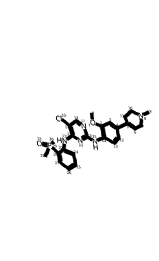 COc1cc(C2=CCN(C)CC2)ccc1Nc1ncc(Cl)c(Nc2ccccc2P(C)(C)=O)n1